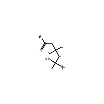 BC(C)(CC(C)(C)CC(=C)C(C)C)C(C)CC